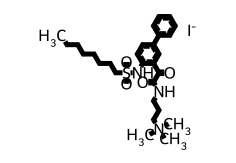 CCCCCCCCS(=O)(=O)Nc1ccc(-c2ccccc2)cc1C(=O)C(=O)NCCC[N+](C)(C)C.[I-]